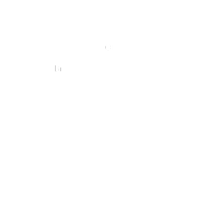 CCCc1cc(Br)c(O)c(C(C)C)c1